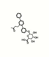 CC(=O)CCc1cc(-c2ccccc2)ccc1-c1cccc(OC2O[C@H](C(=O)O)[C@@H](O)[C@H](O)[C@H]2O)c1